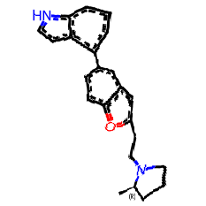 C[C@@H]1CCCN1CCc1cc2cc(-c3cccc4[nH]ccc34)ccc2o1